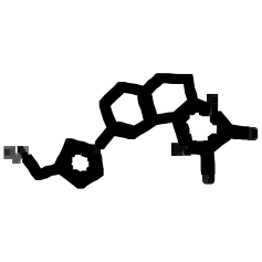 NCc1ccn(C2=CC3=C(CC2)CCc2[nH]c(=O)c(=O)[nH]c23)c1